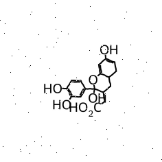 O=C(O)CC1CC2CC=C(O)C=C2OC1(O)c1ccc(O)c(O)c1